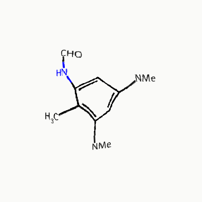 CNc1cc(NC)c(C)c(NC=O)c1